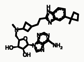 CN(C[C@H]1O[C@@H](n2cnc3c(N)ncnc32)[C@@H](O)[C@H]1O)C1CC(CCc2nc3cc(C4(C)CCC4)ccc3[nH]2)C1